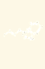 CC=CCn1cnc2ccccc21